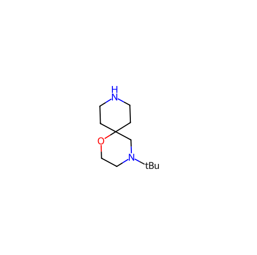 CC(C)(C)N1CCOC2(CCNCC2)C1